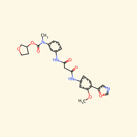 COc1cc(NC(=O)CC(=O)Nc2cccc(N(C)C(=O)OC3CCOC3)c2)ccc1-c1cnco1